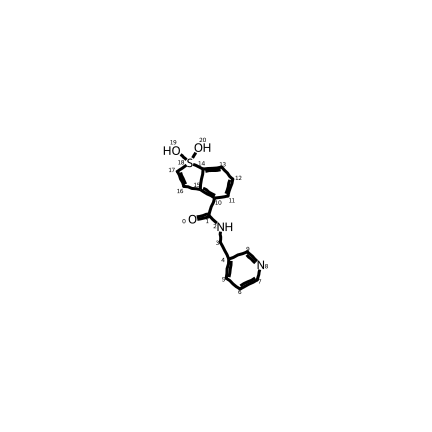 O=C(NCc1cccnc1)c1cccc2c1C=CS2(O)O